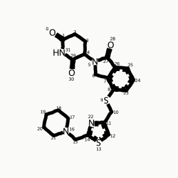 O=C1CCC(N2Cc3c(SCc4csc(CN5CCCCC5)n4)cccc3C2=O)C(=O)N1